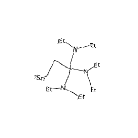 CCN(CC)C([CH2][Sn])(N(CC)CC)N(CC)CC